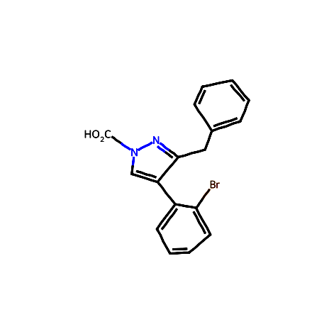 O=C(O)n1cc(-c2ccccc2Br)c(Cc2ccccc2)n1